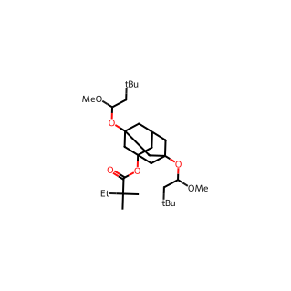 CCC(C)(C)C(=O)OC12CC3CC(OC(CC(C)(C)C)OC)(C1)CC(OC(CC(C)(C)C)OC)(C3)C2